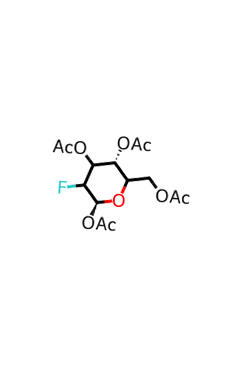 CC(=O)OCC1O[C@@H](OC(C)=O)C(F)C(OC(C)=O)[C@@H]1OC(C)=O